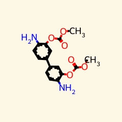 COC(=O)Oc1cc(-c2ccc(N)c(OC(=O)OC)c2)ccc1N